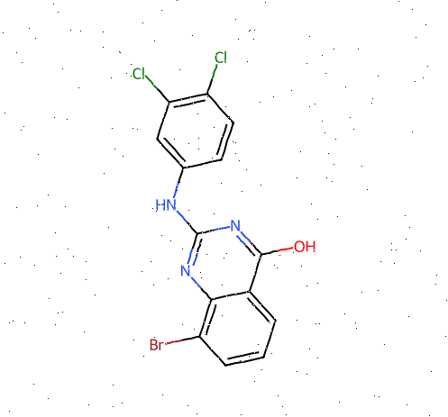 Oc1nc(Nc2ccc(Cl)c(Cl)c2)nc2c(Br)cccc12